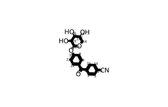 N#Cc1ccc(C(=O)c2ccc(O[C@@H]3OC[C@@H](O)[C@@H](O)[C@@H]3O)cc2)cc1